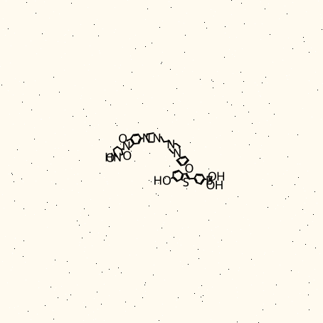 O=C1CCC(N2Cc3cc(N4CCN(CCCN5CCN(c6ccc(Oc7c(-c8ccc(B(O)O)cc8)sc8cc(O)ccc78)cc6)CC5)CC4)ccc3C2=O)C(=O)N1